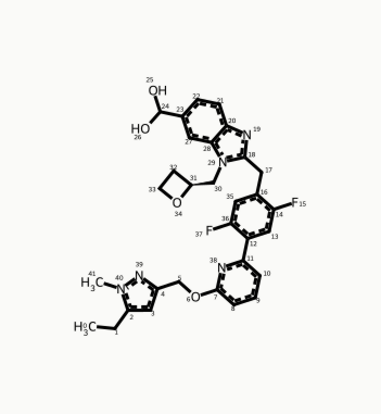 CCc1cc(COc2cccc(-c3cc(F)c(Cc4nc5ccc(C(O)O)cc5n4C[C@@H]4CCO4)cc3F)n2)nn1C